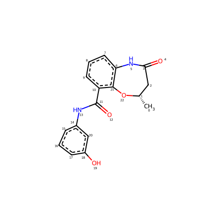 C[C@H]1CC(=O)Nc2cccc(C(=O)Nc3cccc(O)c3)c2O1